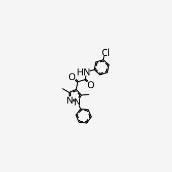 Cc1nn(-c2ccccc2)c(C)c1C(=O)C(=O)Nc1cccc(Cl)c1